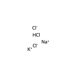 Cl.[Cl-].[Cl-].[K+].[Na+]